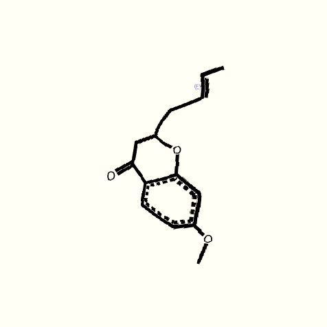 C/C=C/CC1CC(=O)c2ccc(OC)cc2O1